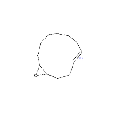 C1=C/CCC2OC2CCCCCC/1